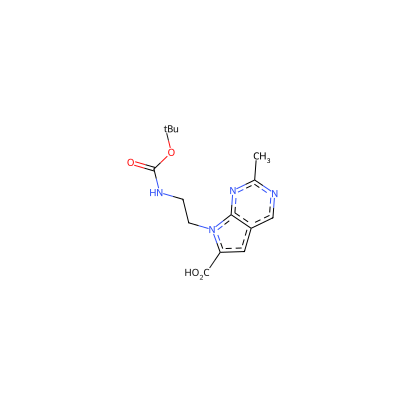 Cc1ncc2cc(C(=O)O)n(CCNC(=O)OC(C)(C)C)c2n1